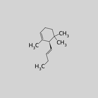 CC/C=C/[C@H]1C(C)=CCCC1(C)C